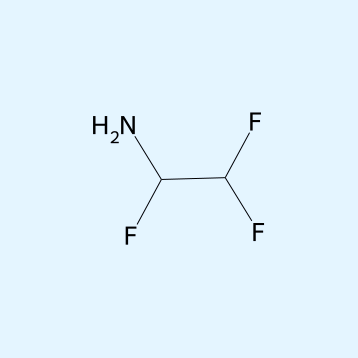 NC(F)C(F)F